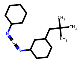 CC(C)(C)CC1CCCC(N=C=NC2CCCCC2)C1